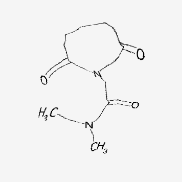 CN(C)C(=O)N1C(=O)CCC1=O